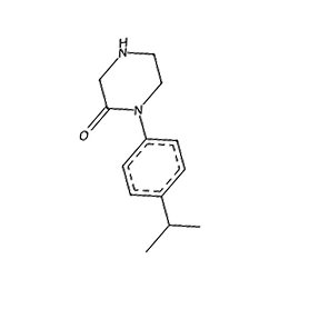 CC(C)c1ccc(N2CCNCC2=O)cc1